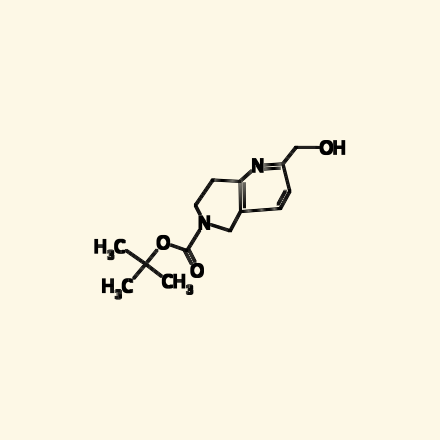 CC(C)(C)OC(=O)N1CCc2nc(CO)ccc2C1